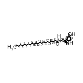 CCCCCCCCCCCCCCCCCCCCCCC(=O)NCCc1c[nH]c2ccc(O)cc12